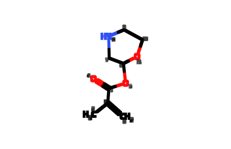 C=C(C)C(=O)OC1CNCCO1